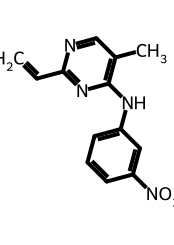 C=Cc1ncc(C)c(Nc2cccc([N+](=O)[O-])c2)n1